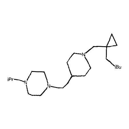 CCC(C)CC1(CN2CCC(CN3CCN(C(C)C)CC3)CC2)CC1